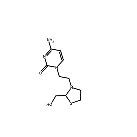 Nc1ccn(CCN2CCSC2CO)c(=O)n1